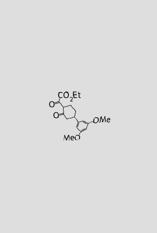 CCOC(=O)C(=O)C1CCC(c2cc(OC)cc(OC)c2)CC1=O